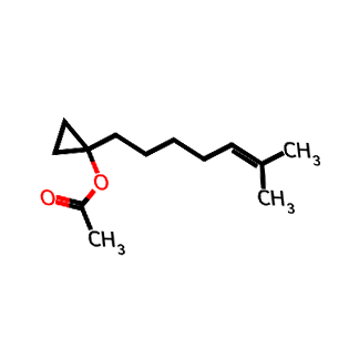 CC(=O)OC1(CCCCC=C(C)C)CC1